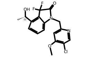 COc1cc(CN2C(=O)C(F)(F)c3c([C@H](C)O)cccc32)ncc1Cl